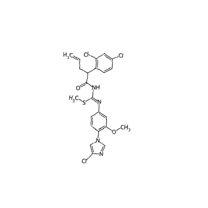 C=CCC(C(=O)N/C(=N/c1ccc(-n2cnc(Cl)c2)c(OC)c1)SC)c1ccc(Cl)cc1Cl